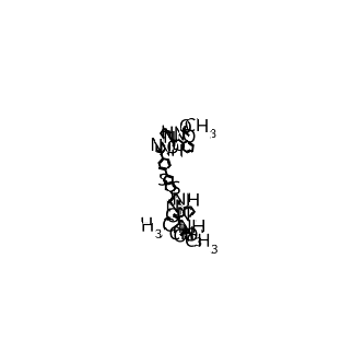 COC(=O)N[C@H](C(=O)N1CCC[C@H]1c1ncc(C2Cc3sc(-c4ccc(-c5cnc([C@@H]6CCCN6C(=O)[C@H](NC(=O)OC)c6ccccc6)[nH]5)cc4)cc3S2)[nH]1)C(C)C